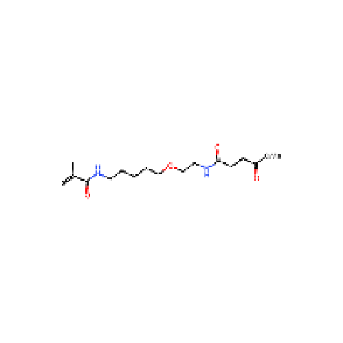 C=C(C)C(=O)NCCCCCOCCNC(=O)CCC(=O)OC